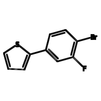 Fc1cc(-c2cccs2)ccc1Br